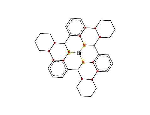 c1cc(C2CCCCC2)c([S][Bi]([S]c2c(C3CCCCC3)cccc2C2CCCCC2)[S]c2c(C3CCCCC3)cccc2C2CCCCC2)c(C2CCCCC2)c1